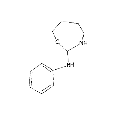 c1ccc(NC2CCCCCN2)cc1